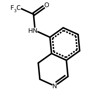 O=C(Nc1cccc2c1CCN=C2)C(F)(F)F